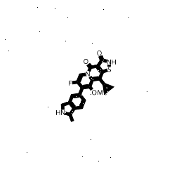 COc1c(-c2ccc3c(c2)CNC3C)c(F)cn2c(=O)c3c(=O)[nH]sc3c(C3CC3)c12